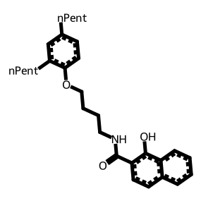 CCCCCc1ccc(OCCCCNC(=O)c2ccc3ccccc3c2O)c(CCCCC)c1